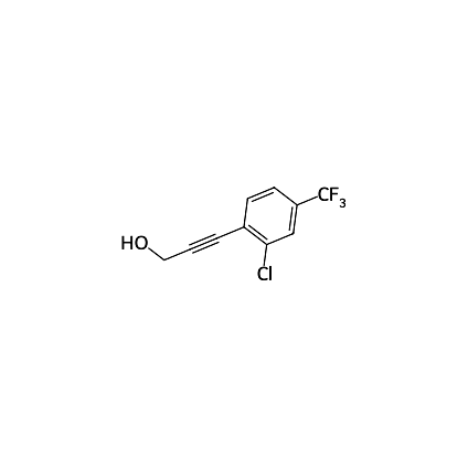 OCC#Cc1ccc(C(F)(F)F)cc1Cl